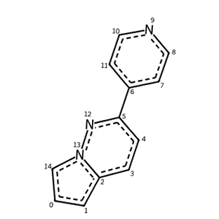 c1cc2ccc(-c3ccncc3)nn2c1